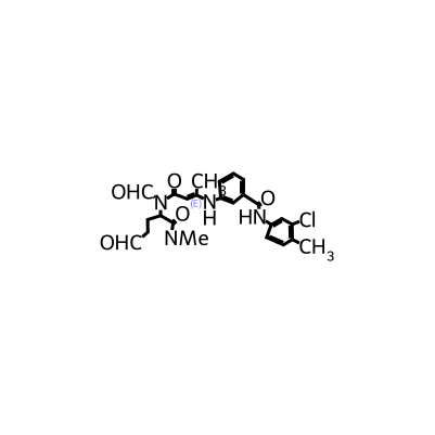 CNC(=O)C(CCC=O)N(C=O)C(=O)/C=C(\C)Nc1cccc(C(=O)Nc2ccc(C)c(Cl)c2)c1